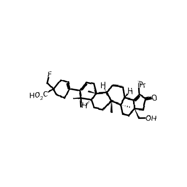 CC(C)C1=C2[C@H]3CC[C@@H]4[C@@]5(C)CC=C(C6=CCC(CF)(C(=O)O)CC6)C(C)(C)[C@@H]5CC[C@@]4(C)[C@]3(C)CC[C@@]2(CO)CC1=O